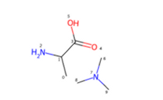 CC(N)C(=O)O.CN(C)C